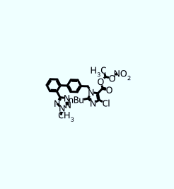 CCCCc1nc(Cl)c(C(=O)OC(C)O[N+](=O)[O-])n1Cc1ccc(-c2ccccc2-c2nnn(C)n2)cc1